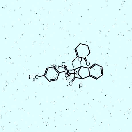 Cc1ccc(S(=O)(=O)[C@]2(CC3=CCCCC3=O)C(=O)[C@@H]3c4ccccc4[C@H]2N3C(=O)OC(C)(C)C)cc1